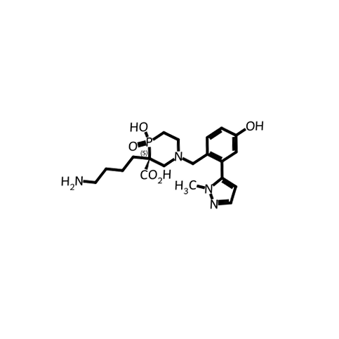 Cn1nccc1-c1cc(O)ccc1CN1CCP(=O)(O)[C@](CCCCN)(C(=O)O)C1